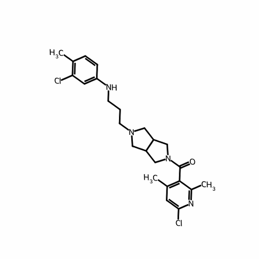 Cc1ccc(NCCCN2CC3CN(C(=O)c4c(C)cc(Cl)nc4C)CC3C2)cc1Cl